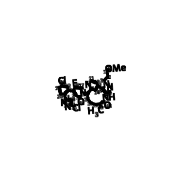 COCCCn1ncc2c1-c1ccnc(c1)C(n1cc(F)c(-c3cc(Cl)ccc3-n3cc(Cl)nn3)cc1=O)CCCC(C)C(=O)N2